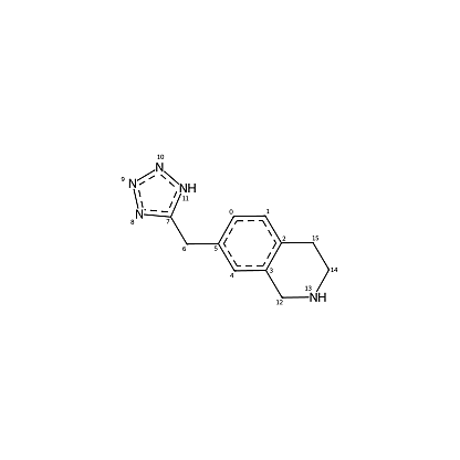 c1cc2c(cc1Cc1nnn[nH]1)CNCC2